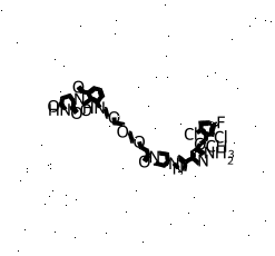 CC(Oc1cc(-c2cnn(C3CCN(C(=O)CCOCCOCCOCCNc4cccc5c4C(=O)N(C4CCC(=O)NC4=O)C5=O)CC3)c2)cnc1N)c1c(Cl)ccc(F)c1Cl